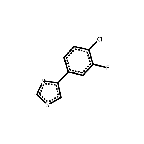 Fc1cc(-c2cs[c]n2)ccc1Cl